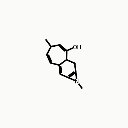 CC1C=CC2=CC3=C(CC2C(O)=C1)N3C